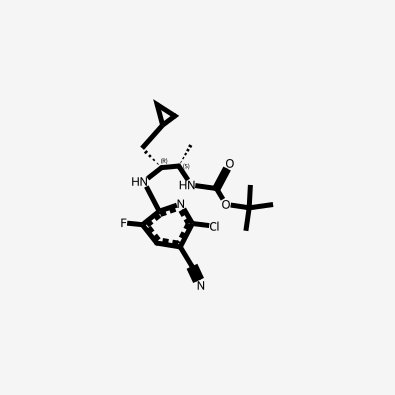 C[C@H](NC(=O)OC(C)(C)C)[C@@H](CC1CC1)Nc1nc(Cl)c(C#N)cc1F